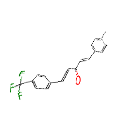 Cc1ccc(/C=C/C(=O)/C=C/c2ccc(C(F)(F)F)cc2)cc1